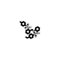 CCc1ccc(S(=O)(=O)Nc2ccccc2/N=C/c2ccccc2NS(=O)(=O)c2ccc(C)cc2)cc1